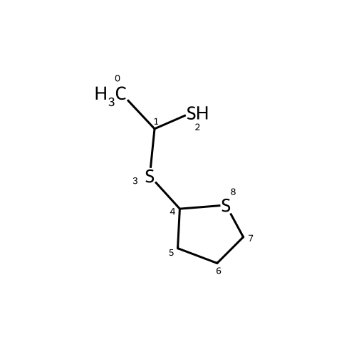 CC(S)SC1CCCS1